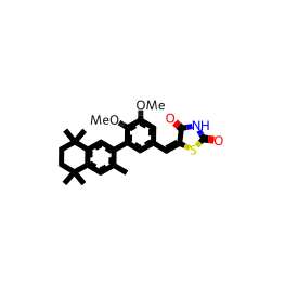 COc1cc(/C=C2/SC(=O)NC2=O)cc(-c2cc3c(cc2C)C(C)(C)CCC3(C)C)c1OC